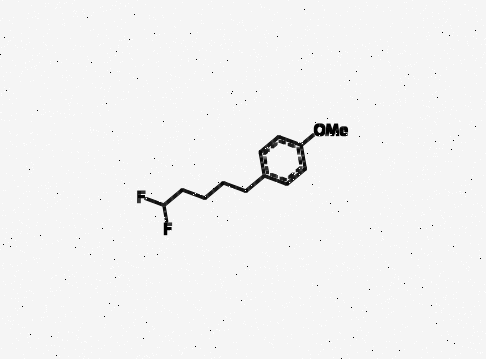 COc1ccc(CCCCC(F)F)cc1